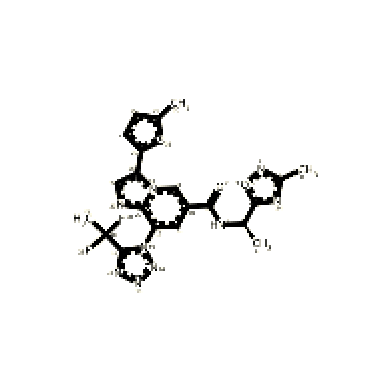 Cc1noc([C@@H](C)NC(=O)c2cc(-n3nnnc3C(C)(F)F)c3ncc(-c4ccc(C)s4)n3c2)n1